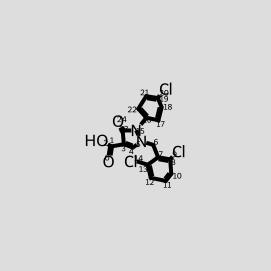 O=C(O)c1cn(Cc2c(Cl)cccc2Cl)n(-c2ccc(Cl)cc2)c1=O